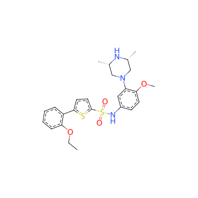 CCOc1ccccc1-c1ccc(S(=O)(=O)Nc2ccc(OC)c(N3C[C@@H](C)N[C@@H](C)C3)c2)s1